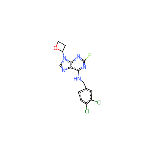 Fc1nc(NCc2ccc(Cl)c(Cl)c2)c2ncn(C3CCO3)c2n1